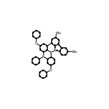 CC(C)(C)c1ccc2c(c1)c1cc(C(C)(C)C)cc3c1n2B1c2ccc(Oc4ccccc4)cc2N(c2ccccc2)c2cc(Oc4ccccc4)cc-3c21